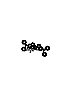 C[CH]=[Zr]([Cl])([Cl])([CH]1C=Cc2cc(P(c3ccccc3)c3ccccc3)ccc21)[CH]1C=Cc2cc(P(c3ccccc3)c3ccccc3)ccc21